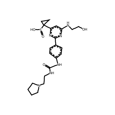 O=C(NCCN1CCCC1)Nc1ccc(-c2nc(NCCO)cc(C3(S(=O)O)CC3)n2)cc1